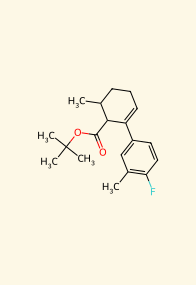 Cc1cc(C2=CCCC(C)C2C(=O)OC(C)(C)C)ccc1F